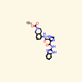 CC(C)(C)OC(=O)N1CCc2c(cccc2NC(=O)c2[nH]cnc2C(=O)Nc2nc3ccccc3[nH]2)C1